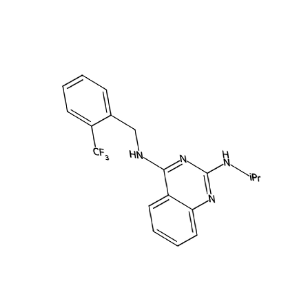 CC(C)Nc1nc(NCc2ccccc2C(F)(F)F)c2ccccc2n1